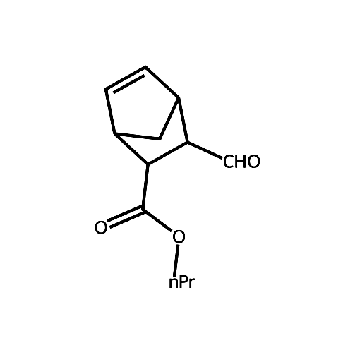 CCCOC(=O)C1C2C=CC(C2)C1C=O